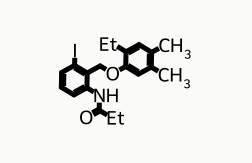 CCC(=O)Nc1cccc(I)c1COc1cc(C)c(C)cc1CC